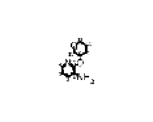 Nc1cccnc1O[C@@H]1CCCOC1